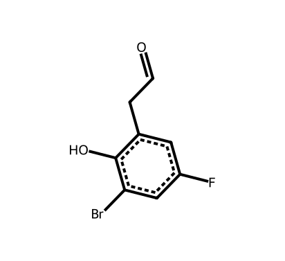 O=CCc1cc(F)cc(Br)c1O